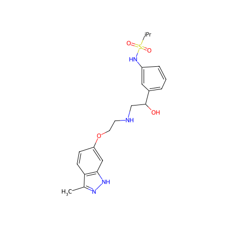 Cc1n[nH]c2cc(OCCNCC(O)c3cccc(NS(=O)(=O)C(C)C)c3)ccc12